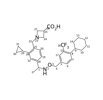 CC(NOCc1ccc(C2CCCCC2)c(C(F)(F)F)c1)c1ccc(CN2CC(C(=O)O)C2)c(C2CC2)c1